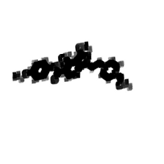 CCN1CCN(CCn2nc(C)c3c(Cl)c(C(=O)Nc4ccc(C)cc4)cnc32)CC1